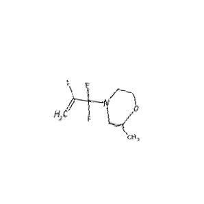 C=C(F)C(F)(F)N1CCOC(C)C1